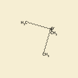 CCCCCCCCCCCCCCCC[N+]([O-])(CC)CCCCCCCCCCCCCCCC